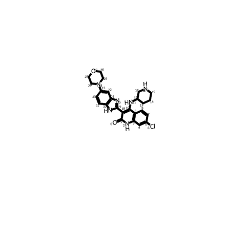 O=c1[nH]c2cc(Cl)ccc2c(NC2CCCNC2)c1-c1nc2cc(N3CCOCC3)ccc2[nH]1